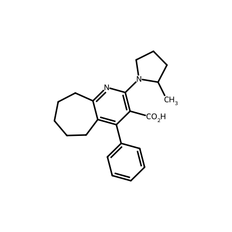 CC1CCCN1c1nc2c(c(-c3ccccc3)c1C(=O)O)CCCCC2